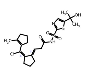 CC1=C(/C(Cl)=C2/CCC/C2=C\CC(=O)NS(=O)(=O)c2ncc(C(C)(C)O)s2)CCC1